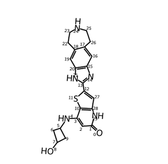 O=c1cc(NC2CC(O)C2)c2sc(-c3nc4cc5c(cc4[nH]3)CCNCC5)cc2[nH]1